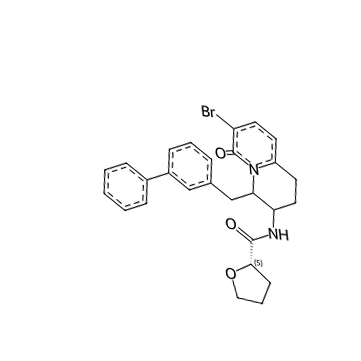 O=C(NC1CCc2ccc(Br)c(=O)n2C1Cc1cccc(-c2ccccc2)c1)[C@@H]1CCCO1